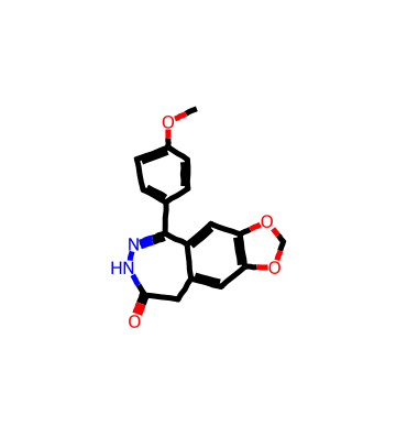 COc1ccc(C2=NNC(=O)Cc3cc4c(cc32)OCO4)cc1